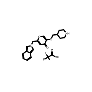 O=C(O)C(F)(F)F.O=c1cc(Cn2cc3ccccc3c2)occ1OCC1CCNCC1